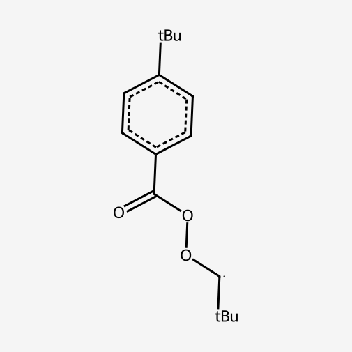 CC(C)(C)[CH]OOC(=O)c1ccc(C(C)(C)C)cc1